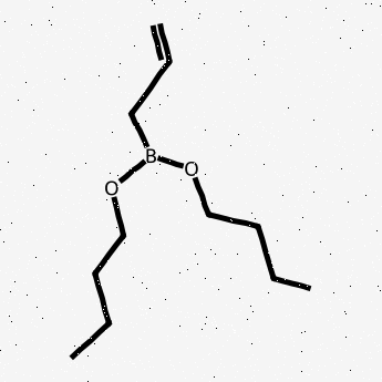 C=CCB(OCCCC)OCCCC